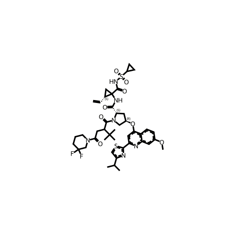 C=C[C@@H]1CC1(NC(=O)[C@@H]1C[C@@H](Oc2cc(-c3nc(C(C)C)cs3)nc3cc(OC)ccc23)CN1C(=O)C(CC(=O)N1CCCC(F)(F)C1)C(C)(C)C)C(=O)NS(=O)(=O)C1CC1